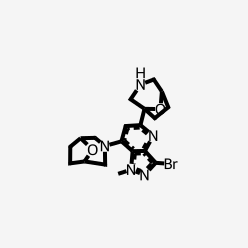 Cn1nc(Br)c2nc(C34CCC(CNC3)O4)cc(N3CC4CCC(C3)O4)c21